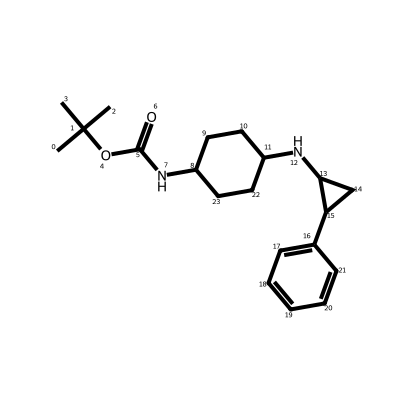 CC(C)(C)OC(=O)NC1CCC(NC2CC2c2ccccc2)CC1